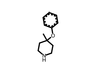 CC1(Oc2cc[c]cc2)CCNCC1